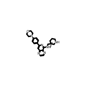 F[C@]1(CNc2nc(-c3ccc(N4CCOCC4)cc3)cc3nccnc23)CCCNC1